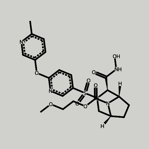 COCCOC(=O)N1[C@@H]2CC[C@H]1[C@H](C(=O)NO)N(S(=O)(=O)c1ccc(Oc3ccc(C)nc3)nc1)C2